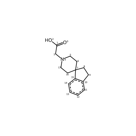 O=C(O)CN1CCC2(CCc3ccccc32)CC1